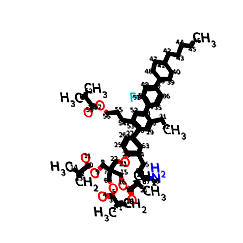 C=C(C)C(=O)OCC(COC(=O)C(=C)C)(COC(=O)C(=C)C)COc1ccc(-c2cc(CC)c(-c3ccc(C4CCC(CCCCC)CC4)cc3F)cc2CCCOC(=O)C(C)C)cc1CCCN